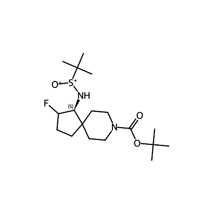 CC(C)(C)OC(=O)N1CCC2(CCC(F)[C@H]2N[S+]([O-])C(C)(C)C)CC1